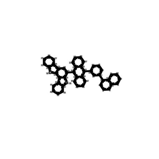 c1cc(-c2cccc3ccccc23)cc(-c2c3ccccc3c(-c3cc4c5ccccc5oc4c4c3sc3ccccc34)c3ccccc23)c1